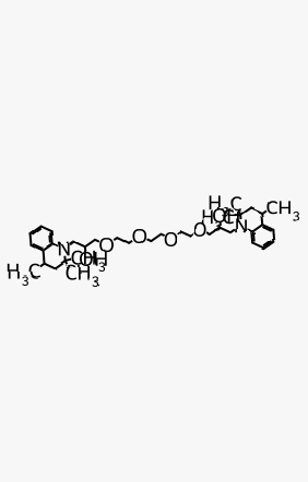 CC1CC(C)(C)N(CC(O)COCCOCCOCCOCC(O)CN2c3ccccc3C(C)CC2(C)C)c2ccccc21